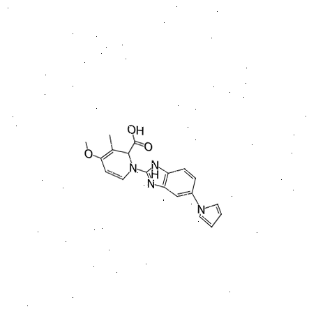 COC1=C(C)C(C(=O)O)N(c2nc3cc(-n4cccc4)ccc3[nH]2)C=C1